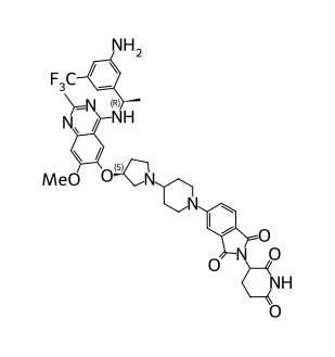 COc1cc2nc(C)nc(N[C@H](C)c3cc(N)cc(C(F)(F)F)c3)c2cc1O[C@H]1CCN(C2CCN(c3ccc4c(c3)C(=O)N(C3CCC(=O)NC3=O)C4=O)CC2)C1